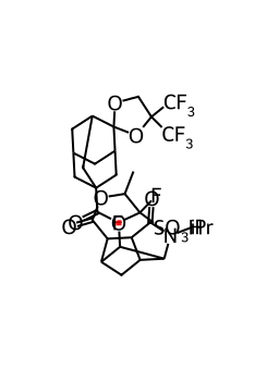 CC(C)N1C(=O)C2C3CC(C(OC(=O)C45CC6CC(C4)C4(OCC(C(F)(F)F)(C(F)(F)F)O4)C(C6)C5)C31)C2C(=O)OC(C)C(F)(F)S(=O)(=O)O